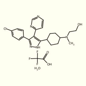 CN(CCO)C1CCC(c2[nH]nc(-c3ccc(Cl)cc3)c2-c2ccncn2)CC1.O.O=C(O)C(F)(F)F